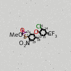 COP(C)(=O)Sc1cc(Oc2ccc(C(F)(F)F)cc2Cl)c(C)cc1[N+](=O)[O-]